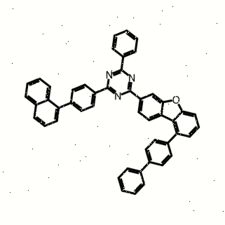 c1ccc(-c2ccc(-c3cccc4oc5cc(-c6nc(-c7ccccc7)nc(-c7ccc(-c8cccc9ccccc89)cc7)n6)ccc5c34)cc2)cc1